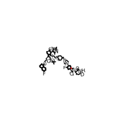 Cc1nn(C)c(C)c1-c1c(Cl)ccc2c(CCCOc3cccc4cc(F)ccc34)c(C(=O)OC(C)(C)C)n(CCN3CCC(CN4CCN(c5cc6c(cc5F)C(=O)N(C5CCC(=O)NC5=O)C6)CC4)CC3)c12